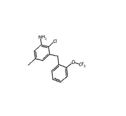 Cc1cc(N)c(Cl)c(Cc2ccccc2OC(F)(F)F)c1